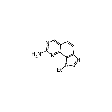 CCn1cnc2ccc3cnc(N)nc3c21